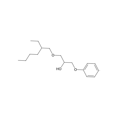 CCCCC(CC)COCC(O)COc1cc[c]cc1